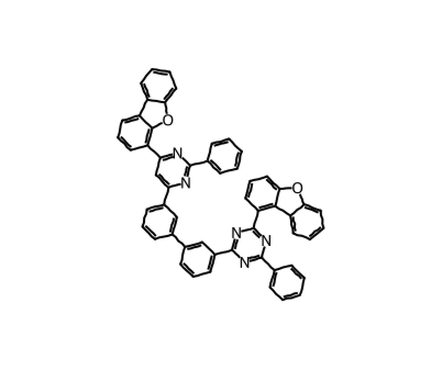 c1ccc(-c2nc(-c3cccc(-c4cccc(-c5nc(-c6ccccc6)nc(-c6cccc7oc8ccccc8c67)n5)c4)c3)cc(-c3cccc4c3oc3ccccc34)n2)cc1